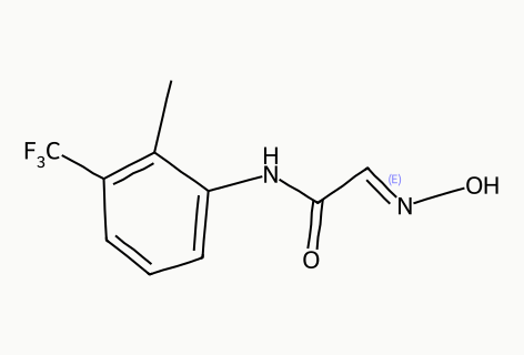 Cc1c(NC(=O)/C=N/O)cccc1C(F)(F)F